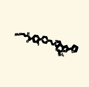 CNCCNC(=O)c1ccc(N2CCN(CCn3ncc4c3nc(N)n3nc(-c5ccco5)cc43)CC2)c(F)c1